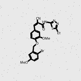 CCc1nnc(NC(=O)C(C#N)=Cc2ccc(OCc3cc(OC)ccc3Br)c(OC)c2)s1